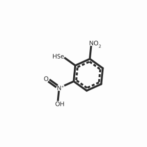 O=[N+]([O-])c1cccc([N+](=O)O)c1[SeH]